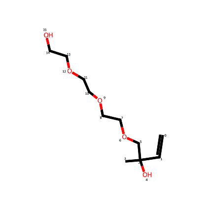 C=CC(C)(O)COCCOCCOCCO